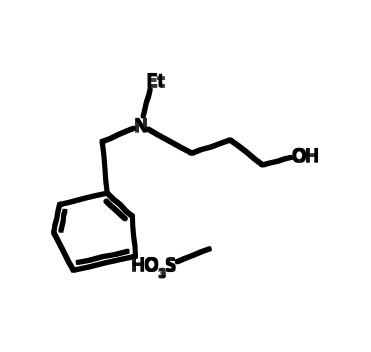 CCN(CCCO)Cc1ccccc1.CS(=O)(=O)O